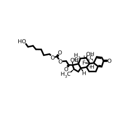 C[C@@H]1C[C@H]2[C@@H]3CCC4=CC(=O)C=C[C@]4(C)[C@@]3(F)[C@@H](O)C[C@]2(C)[C@@]1(O)C(=O)COC(=O)OCCCCCCO